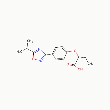 CCC(Oc1ccc(-c2noc(C(C)C)n2)cc1)C(=O)O